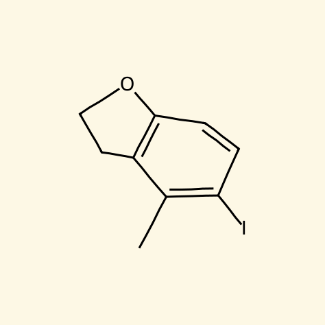 Cc1c(I)ccc2c1CCO2